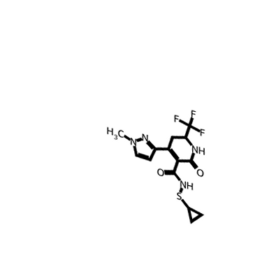 Cn1ccc(C2=C(C(=O)NSC3CC3)C(=O)NC(C(F)(F)F)C2)n1